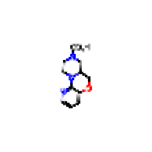 O=C(O)N1CCN2c3ncccc3OCC2C1